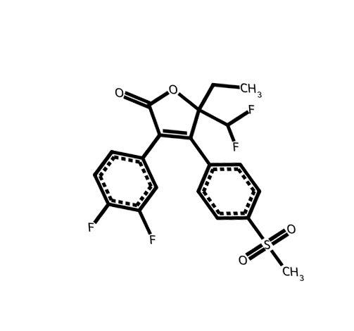 CCC1(C(F)F)OC(=O)C(c2ccc(F)c(F)c2)=C1c1ccc(S(C)(=O)=O)cc1